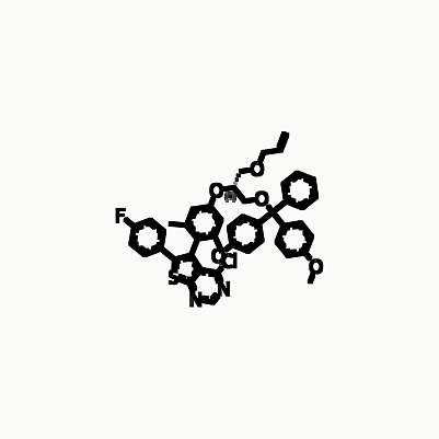 C=CCOC[C@H](COC(c1ccccc1)(c1ccc(OC)cc1)c1ccc(OC)cc1)Oc1cc(C)c(-c2c(-c3ccc(F)cc3)sc3ncnc(Cl)c23)c(C)c1